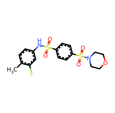 Cc1ccc(NS(=O)(=O)c2ccc(S(=O)(=O)N3CCOCC3)cc2)cc1F